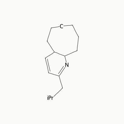 CC(C)CC1=NC2CCCCCCC2C=C1